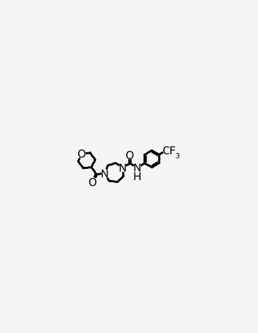 O=C(Nc1ccc(C(F)(F)F)cc1)N1CCCN(C(=O)C2CCOCC2)CC1